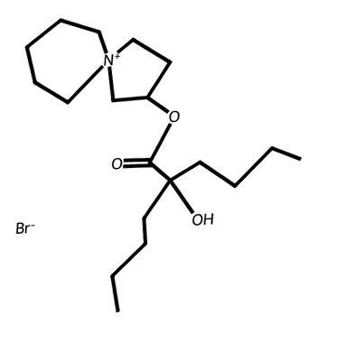 CCCCC(O)(CCCC)C(=O)OC1CC[N+]2(CCCCC2)C1.[Br-]